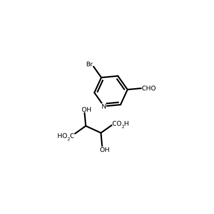 O=C(O)C(O)C(O)C(=O)O.O=Cc1cncc(Br)c1